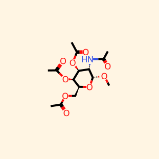 CO[C@@H]1O[C@@H](COC(C)=O)[C@@H](OC(C)=O)[C@@H](OC(C)=O)[C@@H]1NC(C)=O